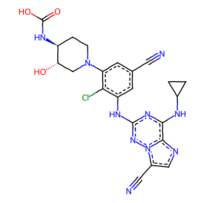 N#Cc1cc(Nc2nc(NC3CC3)c3ncc(C#N)n3n2)c(Cl)c(N2CC[C@H](NC(=O)O)[C@@H](O)C2)c1